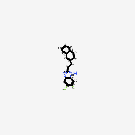 Fc1cc2nc(CCc3ccc4ccccc4c3)[nH]c2cc1F